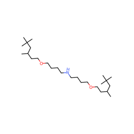 CC(CCOCCCCNCCCCOCCC(C)CC(C)(C)C)CC(C)(C)C